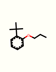 CC[CH]Oc1ccccc1C(C)(C)C